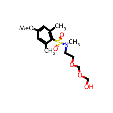 COc1cc(C)c(S(=O)(=O)N(C)CCOCOCO)c(C)c1